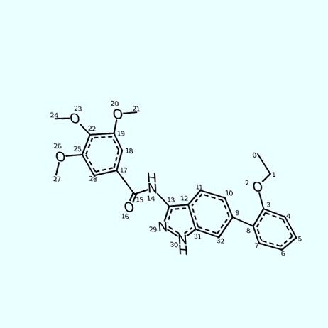 CCOc1ccccc1-c1ccc2c(NC(=O)c3cc(OC)c(OC)c(OC)c3)n[nH]c2c1